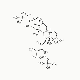 CC(C)[C@H](NC(=O)OC(C)(C)C)C(=O)O[C@H]1CC2C3(CC[C@]4(C)[C@@H]([C@@]5(C)CC[C@@H](C(C)(C)O)O5)[C@@H](O)C[C@@]24C)C[C@@]32CC[C@H](O)C(C)(C)[C@H]12